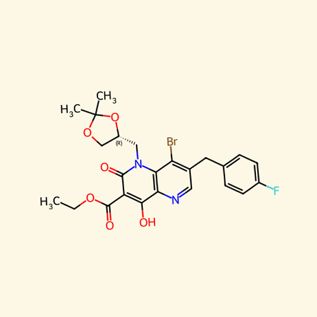 CCOC(=O)c1c(O)c2ncc(Cc3ccc(F)cc3)c(Br)c2n(C[C@@H]2COC(C)(C)O2)c1=O